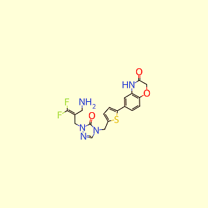 NCC(Cn1ncn(Cc2ccc(-c3ccc4c(c3)NC(=O)CO4)s2)c1=O)=C(F)F